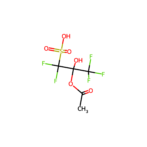 CC(=O)OC(O)(C(F)(F)F)C(F)(F)S(=O)(=O)O